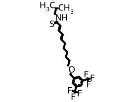 CC(C)CNC(=S)/C=C/C=C/CCCCCCOCc1cc(C(F)(F)F)cc(C(F)(F)F)c1